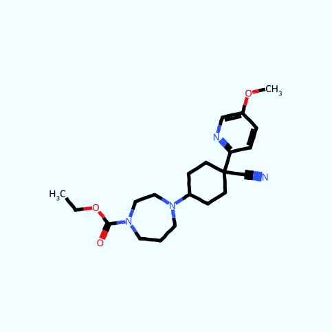 CCOC(=O)N1CCCN(C2CCC(C#N)(c3ccc(OC)cn3)CC2)CC1